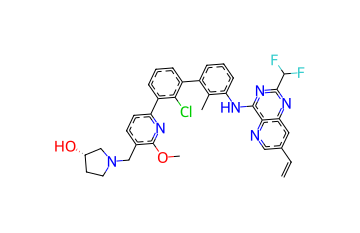 C=Cc1cnc2c(Nc3cccc(-c4cccc(-c5ccc(CN6CC[C@H](O)C6)c(OC)n5)c4Cl)c3C)nc(C(F)F)nc2c1